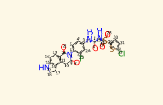 O=C(Nc1ccc(N2C(=O)Cc3c(ccc4c3CCN4)C2=O)c(F)c1)NS(=O)(=O)c1ccc(Cl)s1